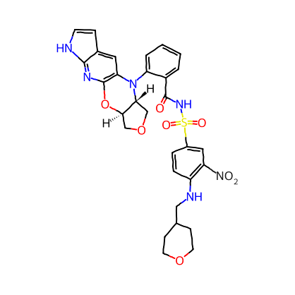 O=C(NS(=O)(=O)c1ccc(NCC2CCOCC2)c([N+](=O)[O-])c1)c1ccccc1N1c2cc3cc[nH]c3nc2O[C@@H]2COC[C@H]21